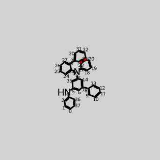 c1ccc(Nc2cc(-c3ccccc3)cc(N(c3ccccc3)c3ccccc3-c3ccccc3)c2)cc1